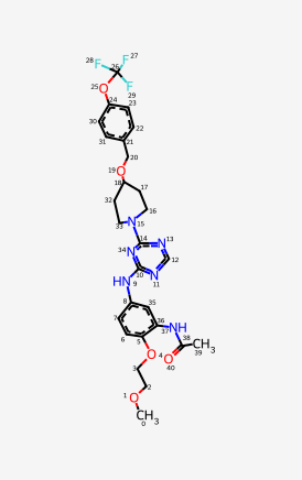 COCCOc1ccc(Nc2ncnc(N3CCC(OCc4ccc(OC(F)(F)F)cc4)CC3)n2)cc1NC(C)=O